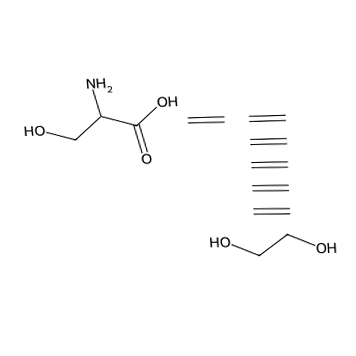 C=C.C=C.C=C.C=C.C=C.C=C.NC(CO)C(=O)O.OCCO